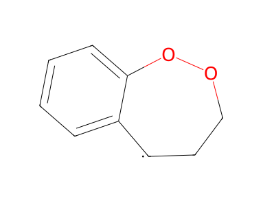 [CH]1CCOOc2ccccc21